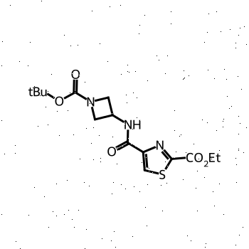 CCOC(=O)c1nc(C(=O)NC2CN(C(=O)OC(C)(C)C)C2)cs1